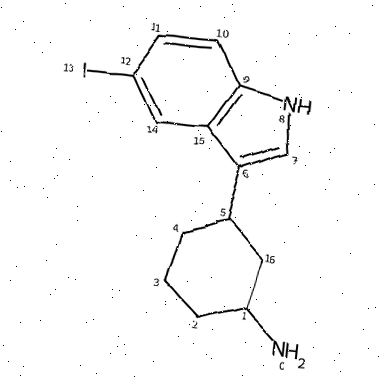 NC1CCCC(c2c[nH]c3ccc(I)cc23)C1